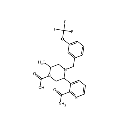 CC1CN(Cc2cccc(OC(F)(F)F)c2)C(c2cccnc2C(N)=O)CN1C(=O)O